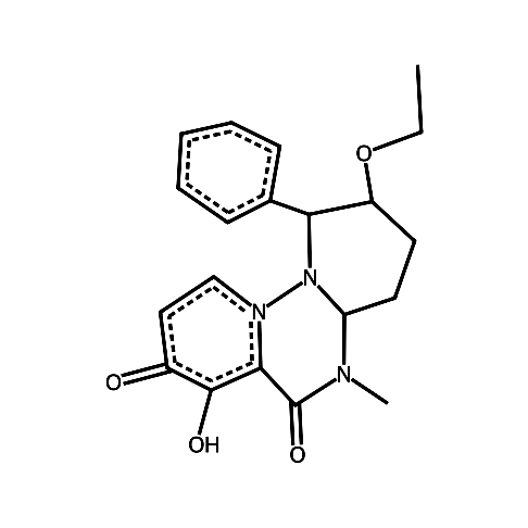 CCOC1CCC2N(C)C(=O)c3c(O)c(=O)ccn3N2C1c1ccccc1